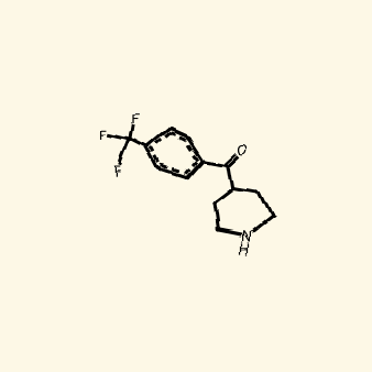 O=C(c1ccc(C(F)(F)F)cc1)C1CCNCC1